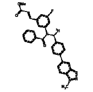 [2H]C(c1ccc(-c2ccc3c(cnn3C)c2)cc1)N(C(=O)c1ccccc1)c1cc(F)cc(/C=C/C(=O)OC)c1